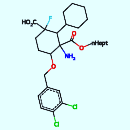 CCCCCCCOC(=O)C1(N)C(OCc2ccc(Cl)c(Cl)c2)CCC(F)(C(=O)O)C1C1CCCCC1